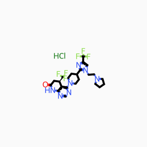 Cl.O=C1C[C@@H](C(F)(F)F)c2c(ncnc2N2CCC(c3nc(C(F)(F)F)cn3CCN3CCCC3)CC2)N1